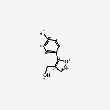 OCc1cnoc1-c1ccc(Br)cc1